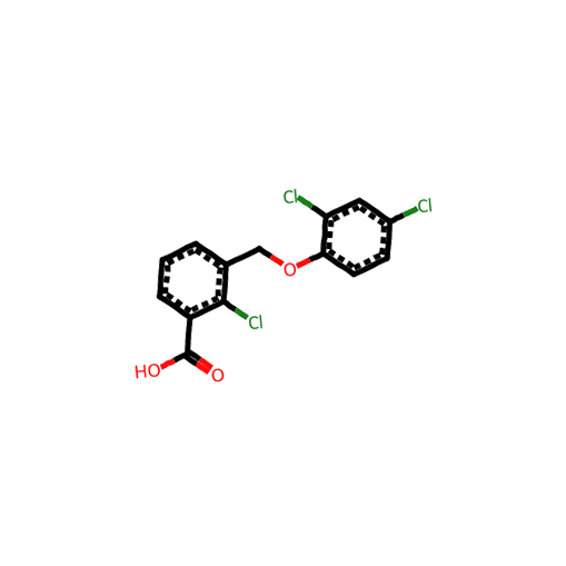 O=C(O)c1cccc(COc2ccc(Cl)cc2Cl)c1Cl